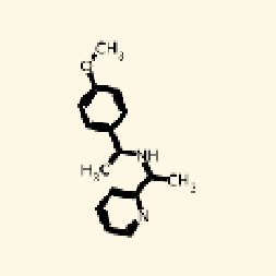 COc1ccc(C(C)NC(C)c2ccccn2)cc1